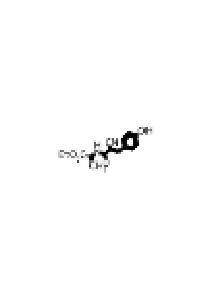 CCOC(=O)[C@H](C)NC(=O)/C(C#N)=C/c1ccc(O)cc1